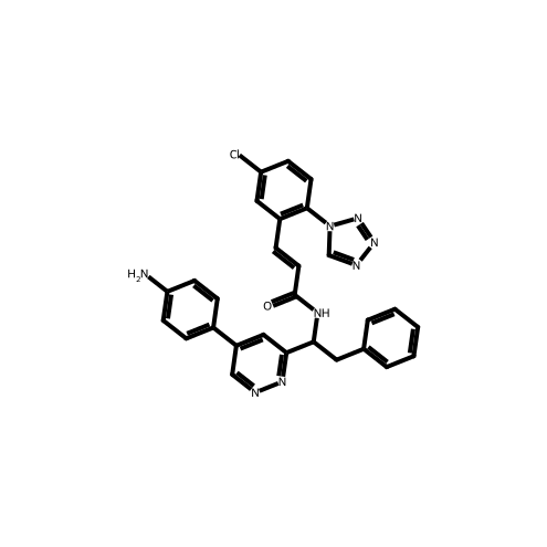 Nc1ccc(-c2cnnc(C(Cc3ccccc3)NC(=O)/C=C/c3cc(Cl)ccc3-n3cnnn3)c2)cc1